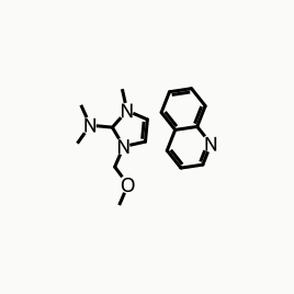 COCN1C=CN(C)C1N(C)C.c1ccc2ncccc2c1